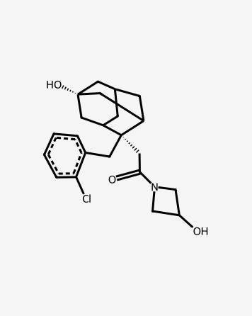 O=C(C[C@]1(Cc2ccccc2Cl)C2CC3CC1C[C@](O)(C3)C2)N1CC(O)C1